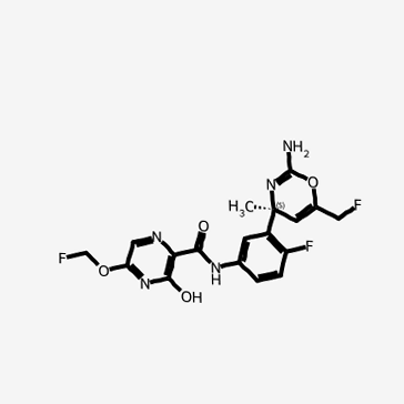 C[C@@]1(c2cc(NC(=O)c3ncc(OCF)nc3O)ccc2F)C=C(CF)OC(N)=N1